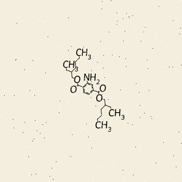 CCCCC(CC)COC(=O)c1ccc(C(=O)OCC(CC)CCCC)c(N)c1